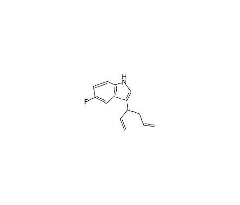 C=CCC(C=C)c1c[nH]c2ccc(F)cc12